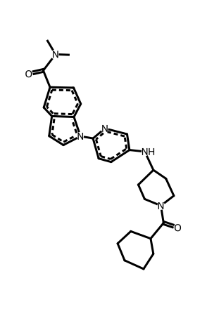 CN(C)C(=O)c1ccc2c(ccn2-c2ccc(NC3CCN(C(=O)C4CCCCC4)CC3)cn2)c1